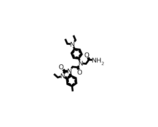 CCN(CC)c1ccc(N(CC(N)=O)C(=O)Cn2c(=O)n(CC)c3cc(C)ccc32)cc1